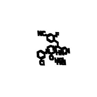 Cl.Cl.N#Cc1ccc(CC(c2cnc[nH]2)N2CCN(c3cccc(Cl)c3)C(=O)C2)c(F)c1